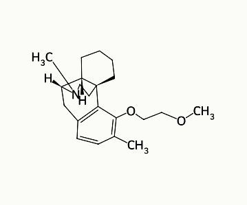 COCCOc1c(C)ccc2c1[C@@]13CCCC[C@H]1[C@@H](C2)N(C)CC3